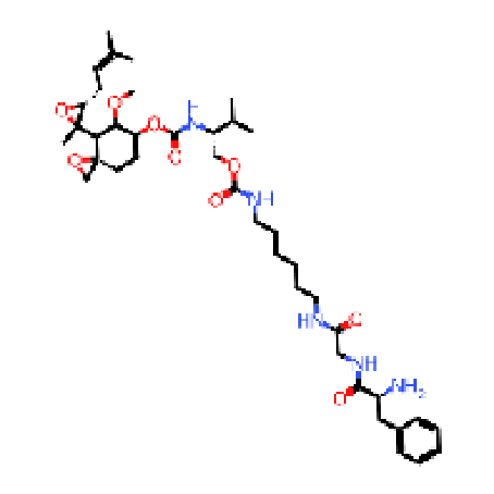 COC1C(OC(=O)N[C@@H](COC(=O)NCCCCCCNC(=O)CNC(=O)[C@@H](N)Cc2ccccc2)C(C)C)CC[C@]2(CO2)C1C1(C)O[C@@H]1CC=C(C)C